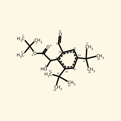 CC(C)(C)OC(=O)C(O)c1c(C=O)cc(C(C)(C)C)cc1C(C)(C)C